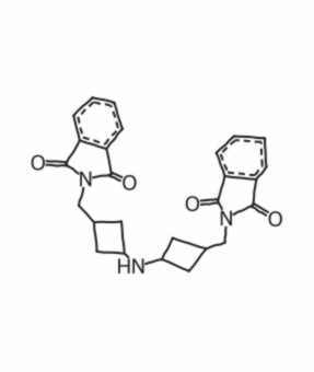 O=C1c2ccccc2C(=O)N1CC1CC(NC2CC(CN3C(=O)c4ccccc4C3=O)C2)C1